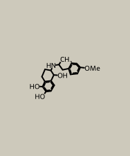 COc1ccc(CC(C)NC2CCc3c(ccc(O)c3O)C2O)cc1